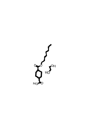 CCCCCCCCOC(=O)C1CCC(C(=O)O)CC1.OCCO